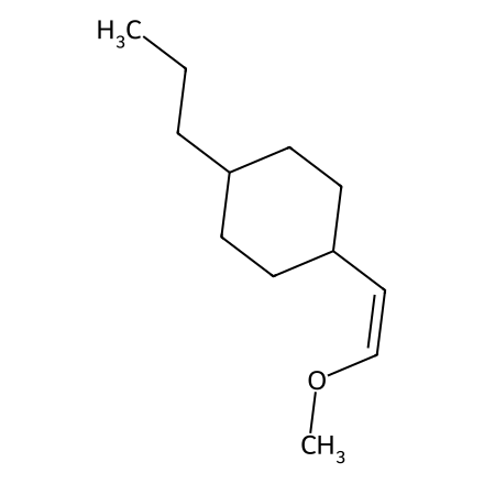 CCCC1CCC(/C=C\OC)CC1